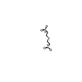 O=[SH](=O)CCSCC[SH](=O)=O